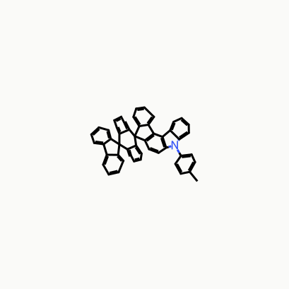 Cc1ccc(-n2c3ccccc3c3c4c(ccc32)C2(c3ccccc3-4)c3ccccc3C3(c4ccccc4-c4ccccc43)c3ccccc32)cc1